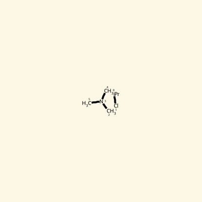 CC(C)Cl.CN(C)C